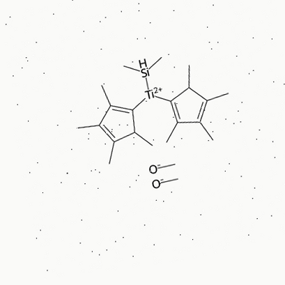 CC1=C(C)C(C)[C]([Ti+2]([C]2=C(C)C(C)=C(C)C2C)[SiH](C)C)=C1C.C[O-].C[O-]